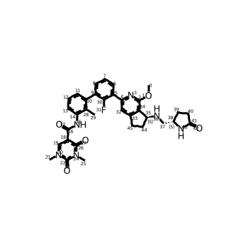 COc1nc(-c2cccc(-c3cccc(NC(=O)c4cn(C)c(=O)n(C)c4=O)c3C)c2F)cc2c1[C@@H](NC[C@@H]1CCC(=O)N1)CC2